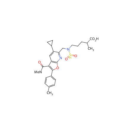 CNC(=O)c1c(-c2ccc(C)cc2)oc2nc(CN(CCCC(C)C(=O)O)[SH](=O)=O)c(C3CC3)cc12